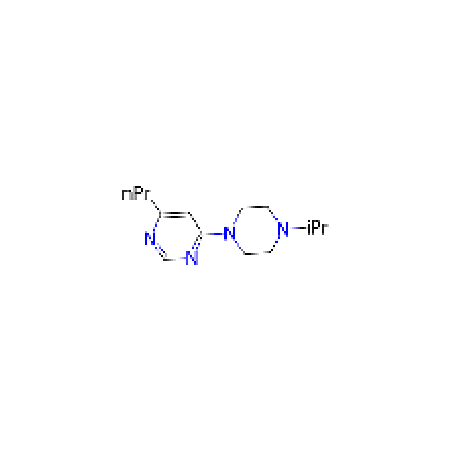 [CH2]CCc1cc(N2CCN(C(C)C)CC2)ncn1